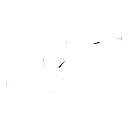 O=C(O)[C@H](CO)NC(=O)[C@@H]1C[C@H](S(=O)(=O)O)CN1